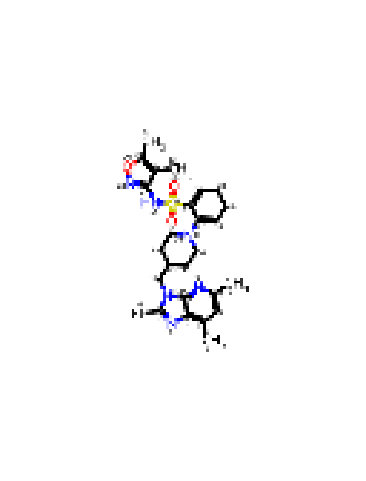 CCc1nc2c(C)cc(C)nc2n1CC1CCN(C2=CCCC=C2S(=O)(=O)Nc2noc(C)c2C)CC1